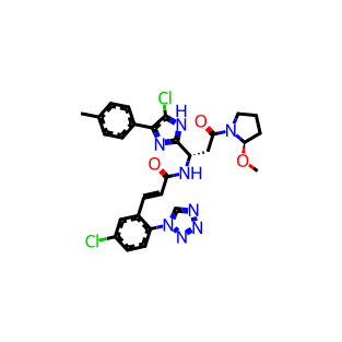 CO[C@@H]1CCCN1C(=O)C[C@H](NC(=O)/C=C/c1cc(Cl)ccc1-n1cnnn1)c1nc(-c2ccc(C)cc2)c(Cl)[nH]1